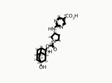 O=C(O)c1cnc(N[C@@H]2CCN(C(=O)O[C@H]3C4CC5CC3C[C@](O)(C5)C4)C2)nc1